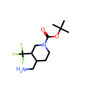 CC(C)(C)OC(=O)N1CCC(CN)C(C(F)(F)F)C1